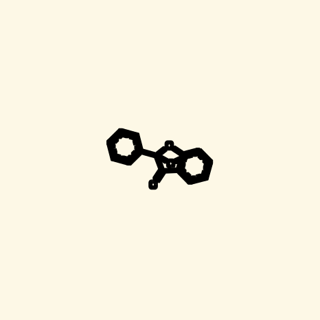 O=C1c2cccc3c2OC1(c1ccccc1)O3